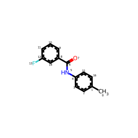 Cc1ccc(NC(=O)c2cccc(F)c2)cc1